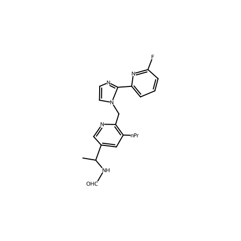 CCCc1cc(C(C)NC=O)cnc1Cn1ccnc1-c1cccc(F)n1